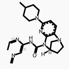 C=N/C=C(\N=C/C)NC(=O)N1c2nc(N3CCC(C)CC3)ccc2N2CC[C@H]1C2